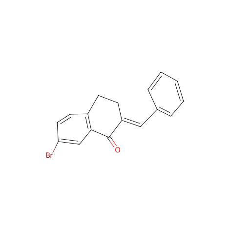 O=C1/C(=C/c2ccccc2)CCc2ccc(Br)cc21